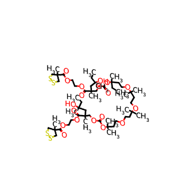 CCC(C)(O)CC(C)(COC(=O)OC(C)(C)CCOCCC(C)(C)OCCC(C)(C)OCCC(C)(CC)OC(=O)OCC(C)(CC(C)(O)CC)C(=O)OCCOC(=O)C1(C)CSSC1)C(=O)OCCOC(=O)C1(C)CSSC1